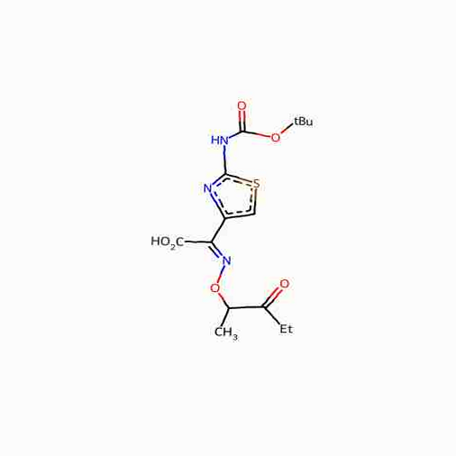 CCC(=O)C(C)ON=C(C(=O)O)c1csc(NC(=O)OC(C)(C)C)n1